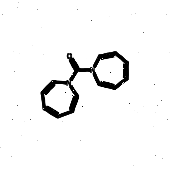 O=C(N1C=CC=CC=C1)N1C=CC=CC=C1